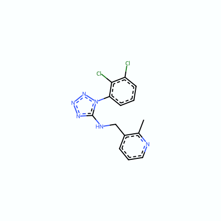 Cc1ncccc1CNc1nnnn1-c1cccc(Cl)c1Cl